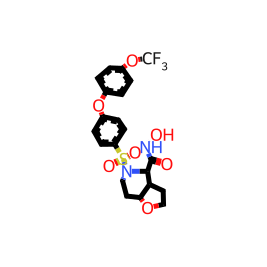 O=C(NO)C1C2CCOC2CCN1S(=O)(=O)c1ccc(Oc2ccc(OC(F)(F)F)cc2)cc1